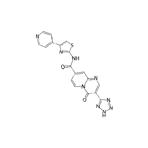 O=C(Nc1nc(-c2ccncc2)cs1)c1ccn2c(=O)c(-c3nn[nH]n3)cnc2c1